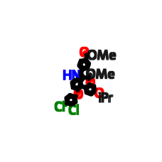 COC(=O)c1ccc(-c2[nH]c3ccc(Oc4ccc(Cl)c(Cl)c4)c(-c4ccc(OC(C)C)cc4)c3c2C(=O)OC)cc1